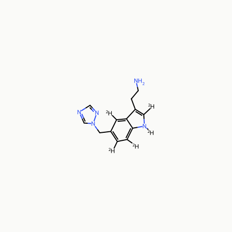 [2H]c1c(Cn2cncn2)c([2H])c2c(CCN)c([2H])n([2H])c2c1[2H]